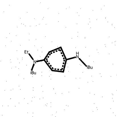 CCC(C)Nc1ccc(N(CC)C(C)CC)cc1